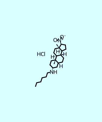 CCCCCCN[C@@H]1CC[C@@]2(C)[C@@H](CC[C@@H]3[C@@H]2CC[C@]2(C)[C@@H]([N+](=O)[O-])CC[C@@H]32)C1.Cl